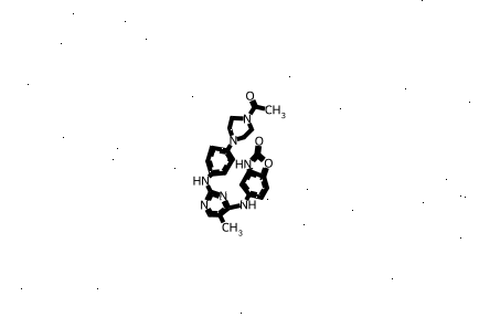 CC(=O)N1CCN(c2ccc(Nc3ncc(C)c(Nc4ccc5oc(=O)[nH]c5c4)n3)cc2)CC1